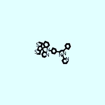 c1ccc(-c2cc(-c3ccc(N4c5ccccc5C5(c6cccnc64)c4ccsc4-c4sccc45)cc3)nc(-c3ccccn3)n2)cc1